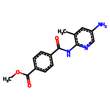 COC(=O)c1ccc(C(=O)Nc2ncc(N)cc2C)cc1